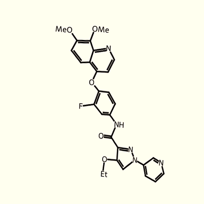 CCOc1cn(-c2cccnc2)nc1C(=O)Nc1ccc(Oc2ccnc3c(OC)c(OC)ccc23)c(F)c1